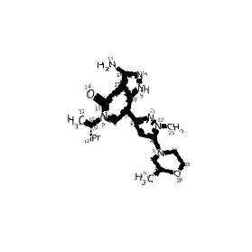 CC1CN(c2cc(-c3cn([C@@H](C)C(C)C)c(=O)c4c(N)n[nH]c34)nn2C)CCO1